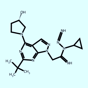 CC(C)(C)c1nc(N2CC[C@H](O)C2)c2cnn(CC(=N)N(N=N)C3CC3)c2n1